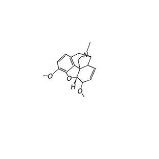 COc1ccc2c3c1O[C@H]1C(OC)C=CC4C(C2)N(C)CCC341